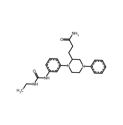 CCNC(=O)Nc1cccc(N2CCN(c3ccccc3)CC2CCC(N)=O)c1